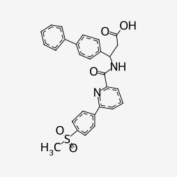 CS(=O)(=O)c1ccc(-c2cccc(C(=O)NC(CC(=O)O)c3ccc(-c4ccccc4)cc3)n2)cc1